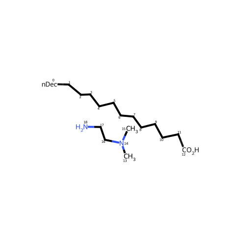 CCCCCCCCCCCCCCCCCCCCCC(=O)O.CN(C)CCN